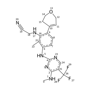 CNc1nc(Nc2ccc(C3=CCOCC3)c(NCC#N)c2C)ncc1C(F)(F)F